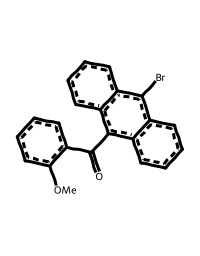 COc1ccccc1C(=O)c1c2ccccc2c(Br)c2ccccc12